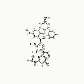 COc1ccc(C(OC[C@H]2O[C@@H](n3cnc4c(=O)[nH]c(NC(C)=O)nc43)C(O)C2O)(c2ccccc2)c2ccc(OC)cc2)cc1